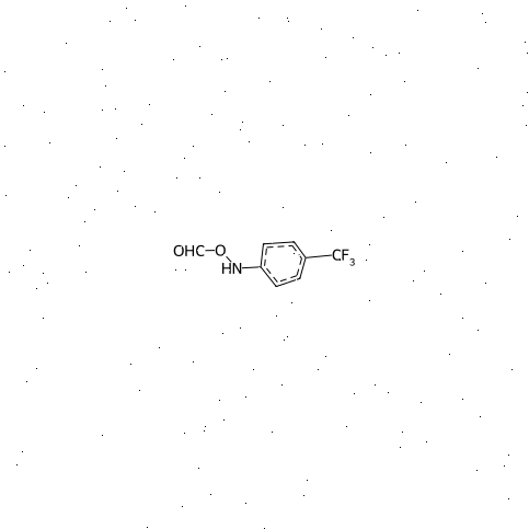 O=CONc1ccc(C(F)(F)F)cc1